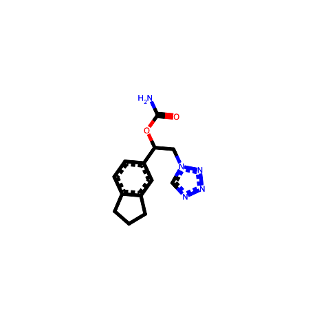 NC(=O)OC(Cn1cnnn1)c1ccc2c(c1)CCC2